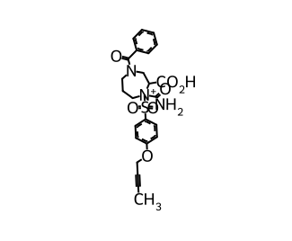 CC#CCOc1ccc(S(=O)(=O)[N+]2(C(N)=O)CCCN(C(=O)c3ccccc3)CC2C(=O)O)cc1